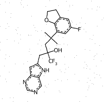 CC(C)(CC(O)(Cc1cc2ncncc2[nH]1)C(F)(F)F)c1cc(F)cc2c1OCC2